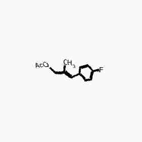 CC(=O)OC/C(C)=C/c1ccc(F)cc1